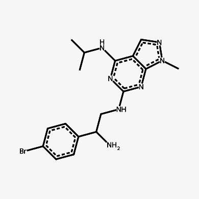 CC(C)Nc1nc(NCC(N)c2ccc(Br)cc2)nc2c1cnn2C